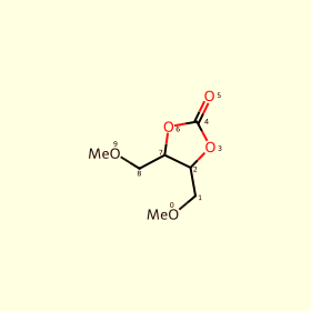 COCC1OC(=O)OC1COC